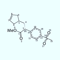 COC(=O)[C@H](CC1CC=CC1)c1ccc(S(C)(=O)=O)cc1